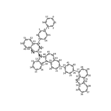 c1ccc(-c2ccc(-c3nc(-n4c5ccccc5c5c6ccc(-c7ccc(-c8cccc9c8sc8ccccc89)cc7)cc6ccc54)nc4ccccc34)cc2)cc1